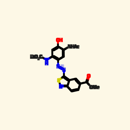 CCOC(=O)Nc1cc(O)c(NC(C)=O)cc1/N=N/c1snc2ccc(C(=O)OC)cc12